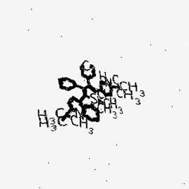 CC(C)(C)c1ccc(C2=C(c3ccccc3)C(c3ccccc3)=C(c3ccc(C(C)(C)C)nc3)[Si]2(c2ccccc2)C(C)(C)C)cn1